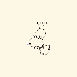 O=C(O)/C=C\C(=O)O.O=C(O)C1CCN(c2ccccn2)CC1